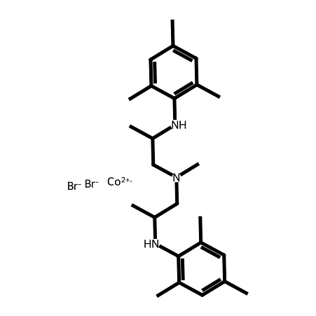 Cc1cc(C)c(NC(C)CN(C)CC(C)Nc2c(C)cc(C)cc2C)c(C)c1.[Br-].[Br-].[Co+2]